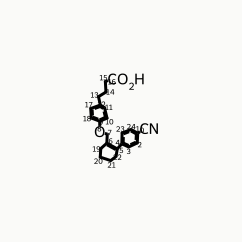 N#Cc1ccc(C2=C(COc3ccc(CCCC(=O)O)cc3)CCCC2)cc1